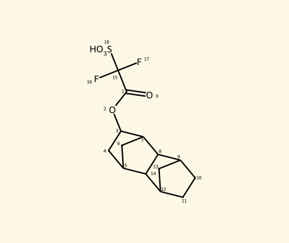 O=C(OC1CC2CC1C1C3CCC(C3)C21)C(F)(F)S(=O)(=O)O